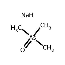 C[As](C)(C)=O.[NaH]